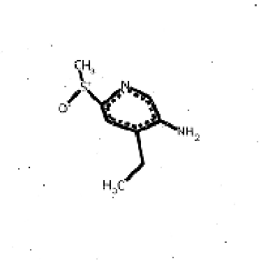 CCc1cc([S+](C)[O-])ncc1N